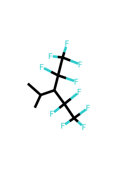 CC(C)[C](C(F)(F)C(F)(F)F)C(F)(F)C(F)(F)F